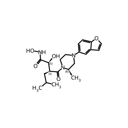 CC(C)C[C@H](C(=O)N1CCN(c2ccc3occc3c2)C[C@H]1C)[C@H](O)C(=O)NO